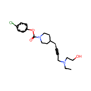 CCN(CC#CCC1CCN(C(=O)Oc2ccc(Cl)cc2)CC1)CCO